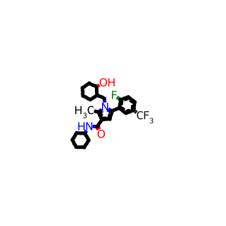 Cc1c(C(=O)NC2CCCCC2)cc(-c2cc(C(F)(F)F)ccc2F)n1CC1CCCCC1O